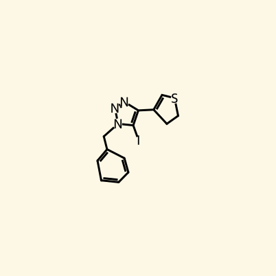 Ic1c(C2=CSCC2)nnn1Cc1ccccc1